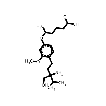 COc1cc(OC(C)CCCC(C)C)ccc1CCC(N)(CO)C(C)C